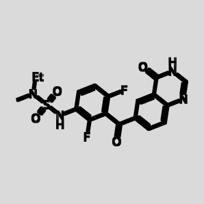 CCN(C)S(=O)(=O)Nc1ccc(F)c(C(=O)c2ccc3nc[nH]c(=O)c3c2)c1F